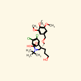 COc1cc(COC[C@](CCCO)(CN(C(=O)O)C(C)(C)C)c2ccc(Cl)c(Cl)c2)cc(OC)c1OC